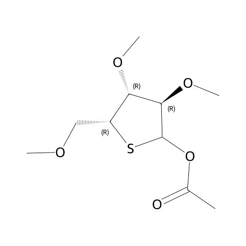 COC[C@H]1SC(OC(C)=O)[C@H](OC)[C@H]1OC